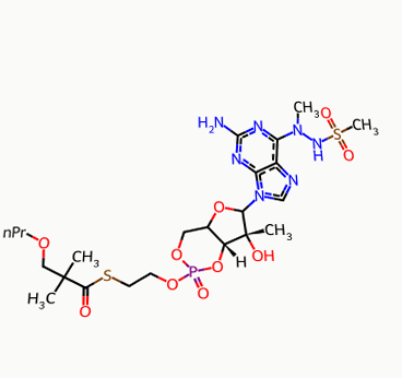 CCCOCC(C)(C)C(=O)SCCOP1(=O)OCC2OC(n3cnc4c(N(C)NS(C)(=O)=O)nc(N)nc43)[C@](C)(O)[C@@H]2O1